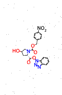 O=C(On1nnc2ccccc21)[C@@H]1C[C@@H](O)CN1C(=O)OCc1ccc([N+](=O)[O-])cc1